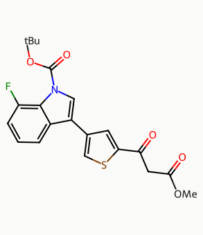 COC(=O)CC(=O)c1cc(-c2cn(C(=O)OC(C)(C)C)c3c(F)cccc23)cs1